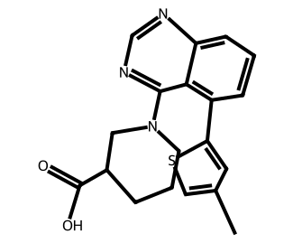 Cc1csc(-c2cccc3ncnc(N4CCCC(C(=O)O)C4)c23)c1